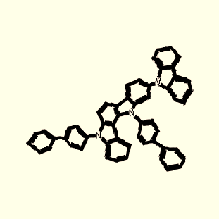 c1ccc(-c2ccc(-n3c4ccccc4c4c3ccc3c5ccc(-n6c7ccccc7c7ccccc76)cc5n(-c5ccc(-c6ccccc6)cc5)c34)cc2)cc1